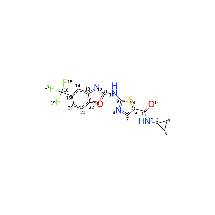 O=C(NC1CC1)c1cnc(Nc2nc3cc(C(F)(F)F)ccc3o2)s1